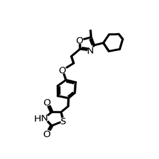 Cc1oc(CCOc2ccc(CC3SC(=O)NC3=O)cc2)nc1C1CCCCC1